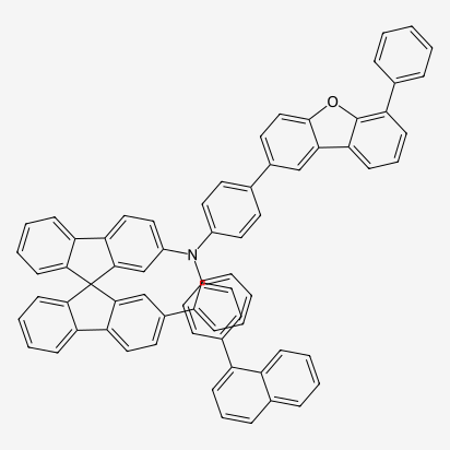 c1ccc(-c2ccc3c(c2)C2(c4ccccc4-3)c3ccccc3-c3ccc(N(c4ccc(-c5ccc6oc7c(-c8ccccc8)cccc7c6c5)cc4)c4ccc(-c5cccc6ccccc56)cc4)cc32)cc1